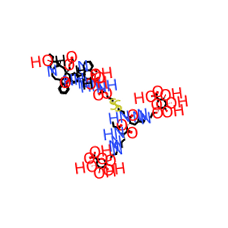 CCC(=O)N[C@@H](Cc1cn(CCO[C@@H]2OC(C(=O)O)[C@@H](O)[C@H](O)C2O)nn1)C(=O)C[C@@H](Cc1cn(CCO[C@@H]2OC(C(=O)O)[C@@H](O)[C@H](O)C2O)nn1)C(=O)NCCSSCCOC(=O)NNC(=O)[C@@]1(O)[C@H](O)[C@]2(CC)C=CCN3CC[C@@]4(c5cc([C@@]6(COC=O)C[C@@H]7CN(CCc8c6[nH]c6ccccc86)C[C@](O)(CC)C7)c(OC)cc5N(C)[C@@H]14)[C@@H]32